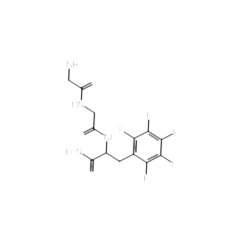 NCC(=O)NCC(=O)NC(Cc1c(F)c(F)c(F)c(F)c1F)C(N)=O